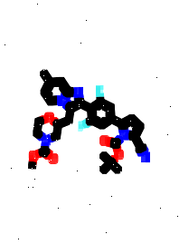 COC(=O)N1CCOC(Cc2c(-c3c(F)cc(-c4ccc(C#N)n4C(=O)OC(C)(C)C)cc3F)nc3cc(C)ccn23)C1